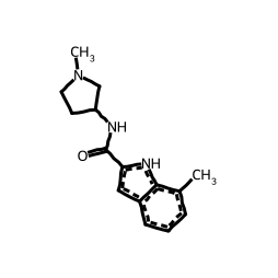 Cc1cccc2cc(C(=O)NC3CCN(C)C3)[nH]c12